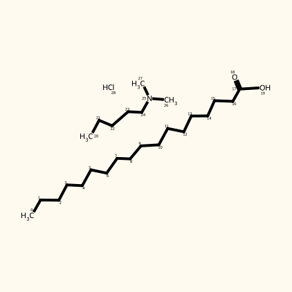 CCCCCCCCCCCCCCCCCC(=O)O.CCCCCN(C)C.Cl